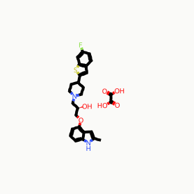 Cc1cc2c(OC[C@@H](O)CN3CCC(c4cc5ccc(F)cc5s4)CC3)cccc2[nH]1.O=C(O)C(=O)O